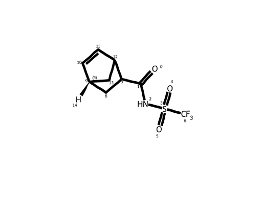 O=C(NS(=O)(=O)C(F)(F)F)C1C[C@@H]2C=CC1C2